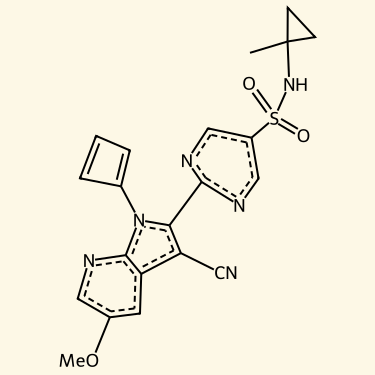 COc1cnc2c(c1)c(C#N)c(-c1ncc(S(=O)(=O)NC3(C)CC3)cn1)n2C1=CC=C1